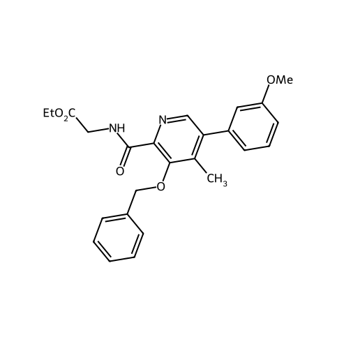 CCOC(=O)CNC(=O)c1ncc(-c2cccc(OC)c2)c(C)c1OCc1ccccc1